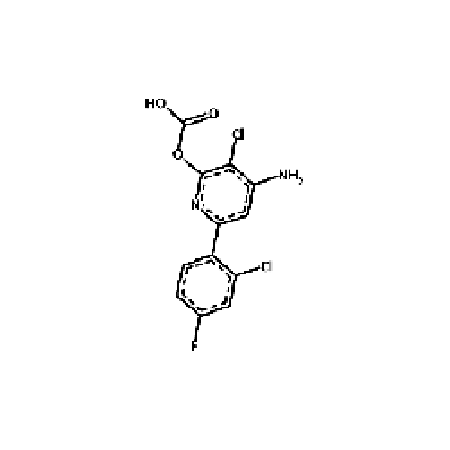 Nc1cc(-c2ccc(F)cc2Cl)nc(OC(=O)O)c1Cl